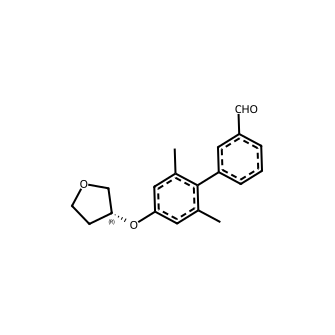 Cc1cc(O[C@@H]2CCOC2)cc(C)c1-c1cccc(C=O)c1